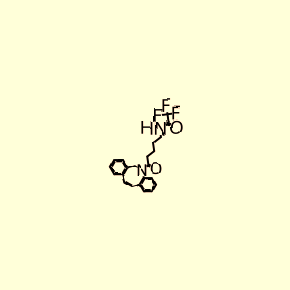 O=C(CCCCNC(=O)C(F)(F)F)N1Cc2ccccc2/C=C\c2ccccc21